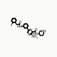 Nc1ncc(-c2cccc(NC(=O)Cc3ccccc3F)c2)nc1C(=O)N[C@H]1CCCNC1